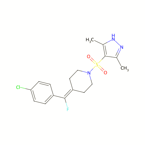 Cc1n[nH]c(C)c1S(=O)(=O)N1CCC(=C(F)c2ccc(Cl)cc2)CC1